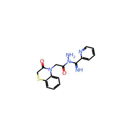 N=C(c1ccccn1)N(N)C(=O)CN1C(=O)CSc2ccccc21